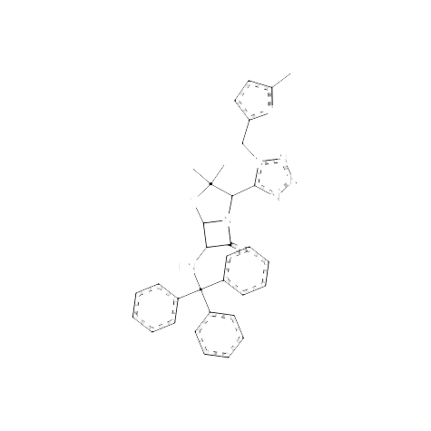 Cc1ccc(Cn2nnnc2C2N3C(=O)C(NC(c4ccccc4)(c4ccccc4)c4ccccc4)C3SC2(C)C)s1